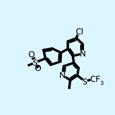 Cc1ncc(-c2ncc(Cl)cc2-c2ccc(S(C)(=O)=O)cc2)cc1SC(F)(F)F